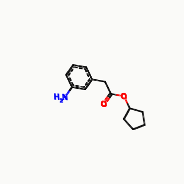 Nc1cccc(CC(=O)OC2CCCC2)c1